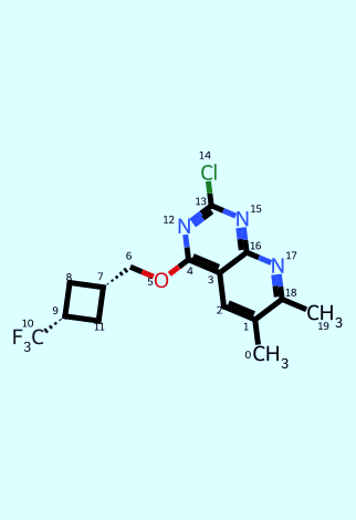 Cc1cc2c(OC[C@H]3C[C@@H](C(F)(F)F)C3)nc(Cl)nc2nc1C